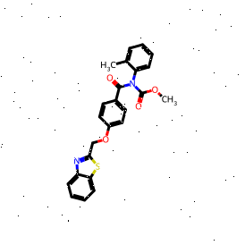 COC(=O)N(C(=O)c1ccc(OCc2nc3ccccc3s2)cc1)c1ccccc1C